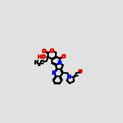 CC[C@@]1(O)C(=O)OCc2c1cc1n(c2=O)Cc2c-1nc1ccccc1c2CN1CCCC1=C=O